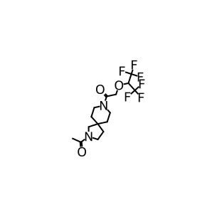 CC(=O)N1CCC2(CCN(C(=O)COC(C(F)(F)F)C(F)(F)F)CC2)C1